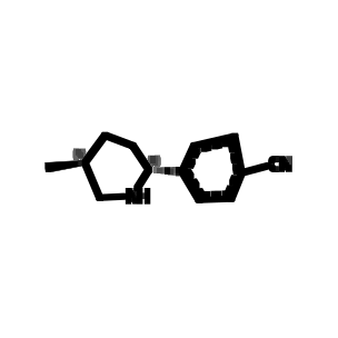 C[C@H]1CC[C@H](c2ccc(C#N)cc2)NC1